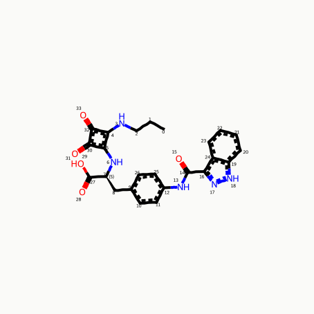 CCCNc1c(N[C@@H](Cc2ccc(NC(=O)c3n[nH]c4ccccc34)cc2)C(=O)O)c(=O)c1=O